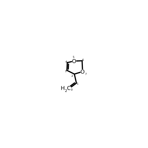 C=CC1C=COCO1